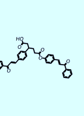 O=C(O)CC(CCC(=O)Oc1ccc(C=CC(=O)c2ccccc2)cc1)c1ccc(C=CC(=O)c2ccccc2)cc1